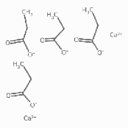 CCC(=O)[O-].CCC(=O)[O-].CCC(=O)[O-].CCC(=O)[O-].[Ca+2].[Ca+2]